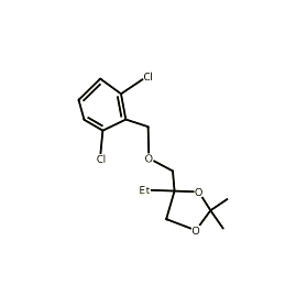 CCC1(COCc2c(Cl)cccc2Cl)COC(C)(C)O1